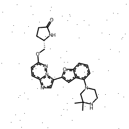 CC1(C)CN(c2cccc3oc(-c4cnc5ccc(OC[C@@H]6CCC(=O)N6)nn45)cc23)CCN1